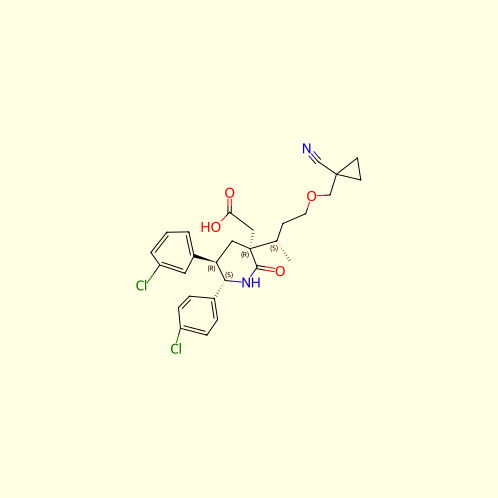 C[C@@H](CCOCC1(C#N)CC1)[C@]1(CC(=O)O)C[C@H](c2cccc(Cl)c2)[C@@H](c2ccc(Cl)cc2)NC1=O